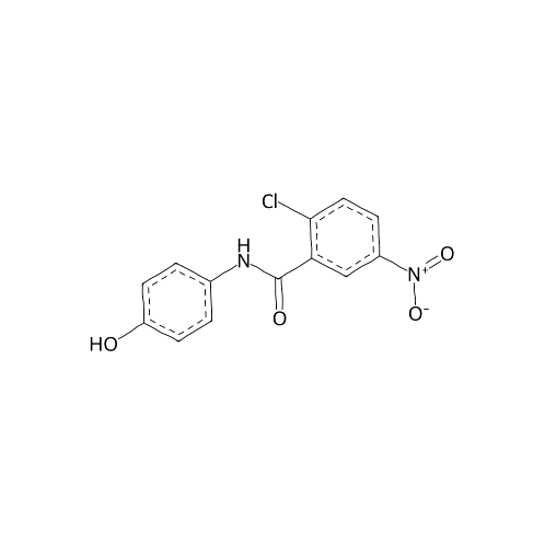 O=C(Nc1ccc(O)cc1)c1cc([N+](=O)[O-])ccc1Cl